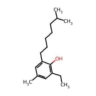 CCc1cc(C)cc(CCCCCC(C)C)c1O